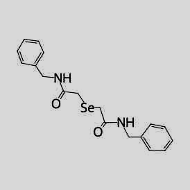 O=C(C[Se]CC(=O)NCc1ccccc1)NCc1ccccc1